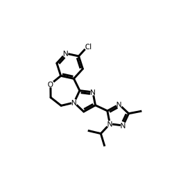 Cc1nc(-c2cn3c(n2)-c2cc(Cl)ncc2OCC3)n(C(C)C)n1